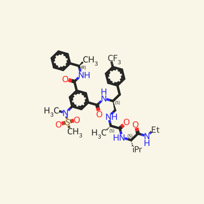 CCNC(=O)[C@@H](NC(=O)[C@H](C)NC[C@H](Cc1ccc(C(F)(F)F)cc1)NC(=O)c1cc(C(=O)N[C@H](C)c2ccccc2)cc(N(C)S(C)(=O)=O)c1)C(C)C